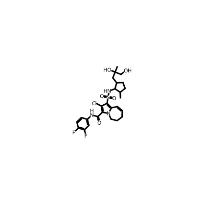 CC1CCC(CC(C)(O)CO)C1NS(=O)(=O)c1c(Cl)c(C(=O)Nc2ccc(F)c(F)c2)n2c1C=CCCC2